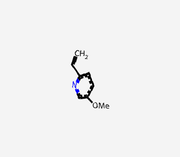 C=Cc1ccc(OC)cn1